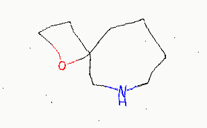 C1CCC2(CCO2)CNC1